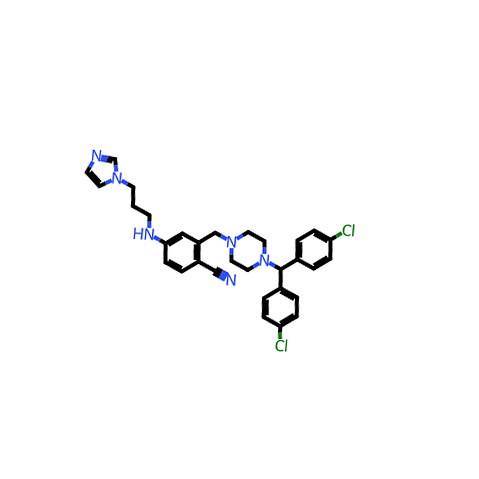 N#Cc1ccc(NCCCn2ccnc2)cc1CN1CCN(C(c2ccc(Cl)cc2)c2ccc(Cl)cc2)CC1